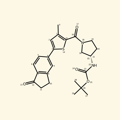 Cc1cc(-c2ccc3c(c2)CCC3=O)sc1C(=O)N1CC[C@H](NC(=O)OC(C)(C)C)C1